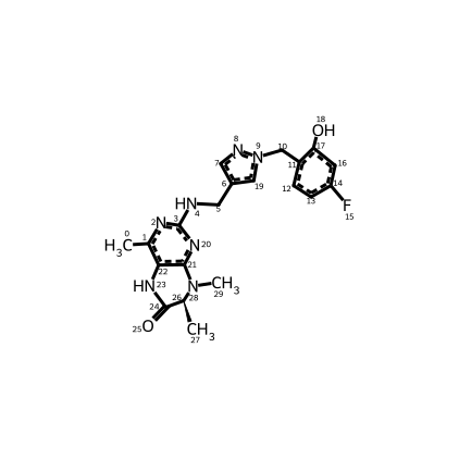 Cc1nc(NCc2cnn(Cc3ccc(F)cc3O)c2)nc2c1NC(=O)[C@H](C)N2C